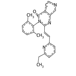 CCc1cccc(/C=C/c2nc3cnccc3c(=O)n2-c2c(C)cccc2C)n1